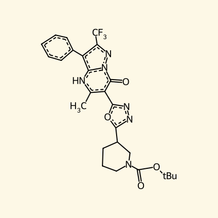 Cc1[nH]c2c(-c3ccccc3)c(C(F)(F)F)nn2c(=O)c1-c1nnc(C2CCCN(C(=O)OC(C)(C)C)C2)o1